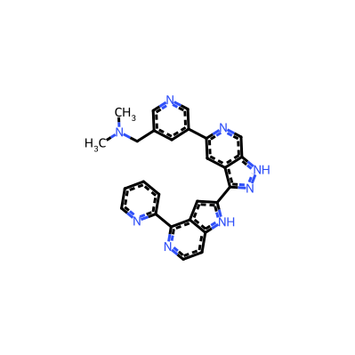 CN(C)Cc1cncc(-c2cc3c(-c4cc5c(-c6ccccn6)nccc5[nH]4)n[nH]c3cn2)c1